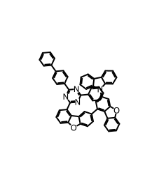 c1ccc(-c2ccc(-c3nc(-c4ccccc4)nc(-c4cccc5oc6ccc(-c7cc(-n8c9ccccc9c9ccccc98)cc8oc9ccccc9c78)cc6c45)n3)cc2)cc1